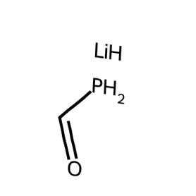 O=CP.[LiH]